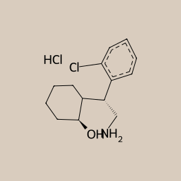 Cl.NC[C@@H](c1ccccc1Cl)C1CCCC[C@@H]1O